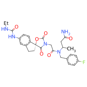 CCNC(=O)Nc1ccc2c(c1)CC[C@@]21OC(=O)N(CC(=O)N(Cc2ccc(F)cc2)C(C)CC(N)=O)C1=O